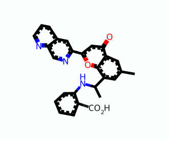 Cc1cc(C(C)Nc2ccccc2C(=O)O)c2oc(-c3cc4cccnc4cn3)cc(=O)c2c1